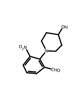 O=Cc1cccc([N+](=O)[O-])c1N1CCC(O)CC1